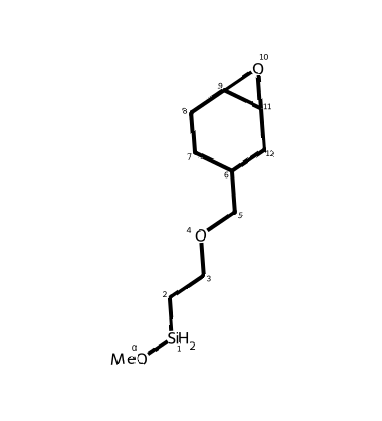 CO[SiH2]CCOCC1CCC2OC2C1